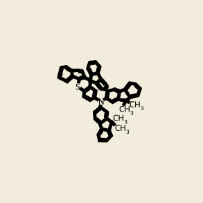 CC1(C)c2ccccc2-c2ccc(N(c3ccc4c(c3)C(C)(C)c3ccccc3-4)c3ccc4c(c3)C3(c5ccccc5-c5ccccc53)c3ccc5ccccc5c3S4)cc21